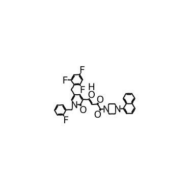 O=C(/C=C(\O)c1cc(Cc2c(F)cc(F)cc2F)cn(Cc2ccccc2F)c1=O)C(=O)N1CCN(c2cccc3ccccc23)CC1